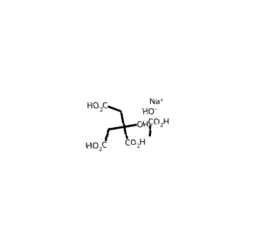 CC(=O)O.O=C(O)CC(O)(CC(=O)O)C(=O)O.[Na+].[OH-]